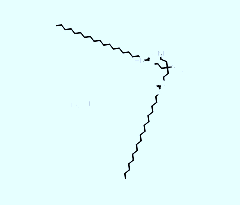 CCCCCCCCCCCCCCCCCCNC(=O)OCCC(N)(CCN)CCOC(=O)NCCCCCCCCCCCCCCCCCC.Cl.Cl